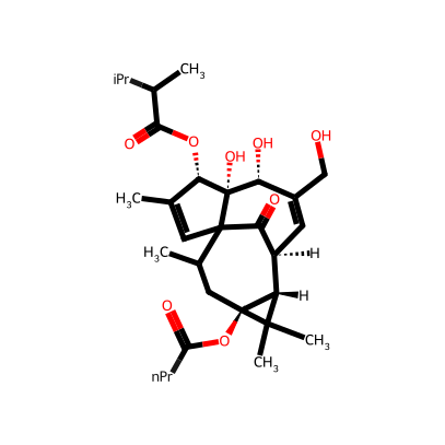 CCCC(=O)O[C@@]12CC(C)C34C=C(C)[C@H](OC(=O)C(C)C(C)C)[C@@]3(O)[C@H](O)C(CO)=C[C@H](C4=O)[C@@H]1C2(C)C